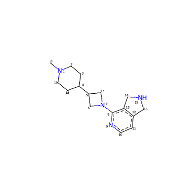 CN1CCC(C2CN(c3nccc4c3CNC4)C2)CC1